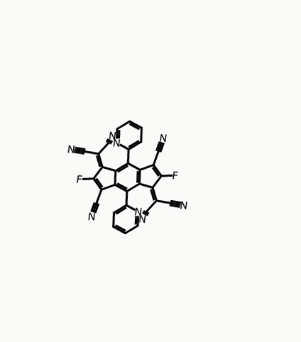 N#CC(C#N)=C1C(F)=C(C#N)c2c1c(-c1ccccn1)c1c(c2-c2ccccn2)C(=C(C#N)C#N)C(F)=C1C#N